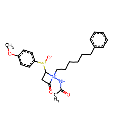 COc1ccc([S+]([O-])C2CC(=O)[N+]2(CCCCCCc2ccccc2)NC(C)=O)cc1